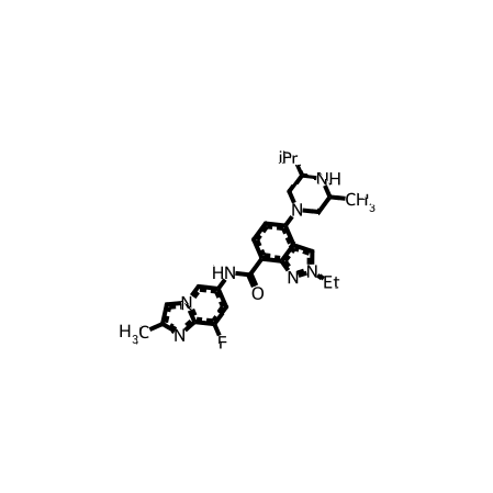 CCn1cc2c(N3CC(C)NC(C(C)C)C3)ccc(C(=O)Nc3cc(F)c4nc(C)cn4c3)c2n1